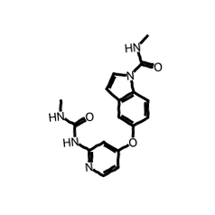 CNC(=O)Nc1cc(Oc2ccc3c(ccn3C(=O)NC)c2)ccn1